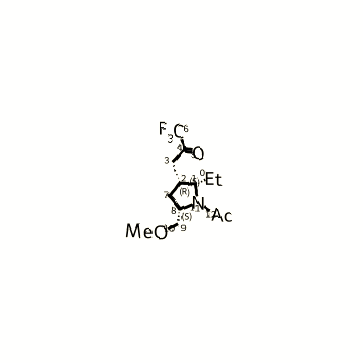 CC[C@H]1[C@@H](CC(=O)C(F)(F)F)C[C@@H](COC)N1C(C)=O